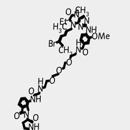 C=C/C(Br)=C\C=C(/C)CN1c2nc(Nc3ccc(C(=O)NCCOCCOCCOCCNCC(=O)Nc4cccc5c4CN(C4CCC(=O)NC4=O)C5=O)cc3OC)ncc2N(C)C(=O)[C@H]1CC